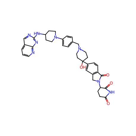 O=C1CCC(N2Cc3cc(C4(O)CCN(Cc5ccc(N6CCC(Nc7ncc8cccnc8n7)CC6)cc5)CC4)ccc3C2=O)C(=O)N1